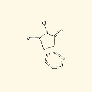 O=C1CCC(=O)N1Cl.c1ccncc1